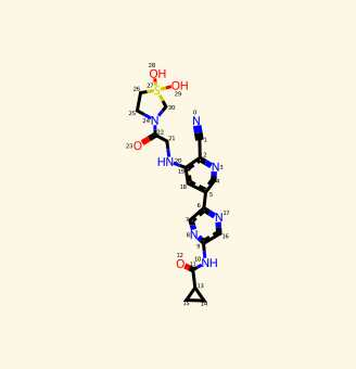 N#Cc1ncc(-c2cnc(NC(=O)C3CC3)cn2)cc1NCC(=O)N1CCS(O)(O)C1